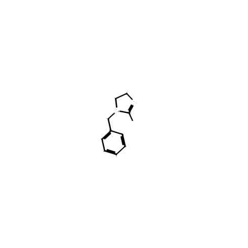 CCOC(=O)C1=NCCN1Cc1ccccc1